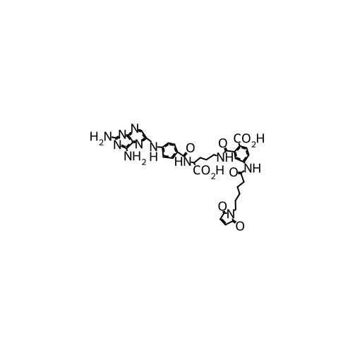 Nc1nc(N)c2nc(CNc3ccc(C(=O)NC(CCCNC(=O)c4cc(NC(=O)CCCCCN5C(=O)C=CC5=O)ccc4C(=O)O)C(=O)O)cc3)cnc2n1